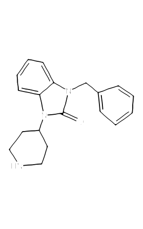 O=c1n(Cc2ccccc2)c2ccccc2n1C1CCNCC1